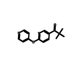 CC(C)(C)C(=O)c1ccc(Oc2ccncc2)nc1